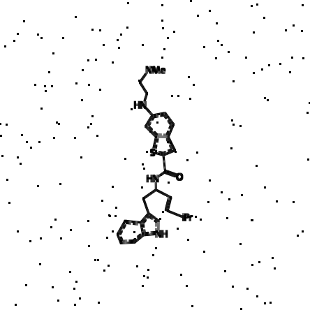 CNCCNc1ccc2cc(C(=O)NC(/C=C/C(C)C)Cc3c[nH]c4ccccc34)sc2c1